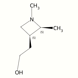 C[C@H]1[C@@H](CCO)CN1C